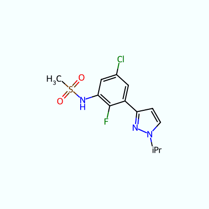 CC(C)n1ccc(-c2cc(Cl)cc(NS(C)(=O)=O)c2F)n1